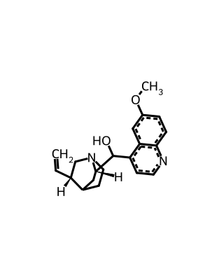 C=C[C@@H]1CN2CCC1C[C@H]2C(O)c1ccnc2ccc(OC)cc12